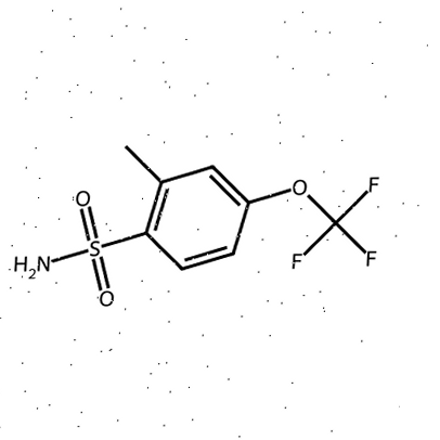 Cc1cc(OC(F)(F)F)ccc1S(N)(=O)=O